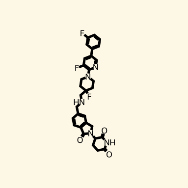 O=C1CCC(N2Cc3cc(CNCC4(F)CCN(c5ncc(-c6cccc(F)c6)cc5F)CC4)ccc3C2=O)C(=O)N1